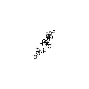 CCCN1C(=O)[C@H](CCCCNC(=O)OCc2ccccc2)NC(=O)C12CCN(S(=O)(=O)c1cc(F)ccc1F)CC2